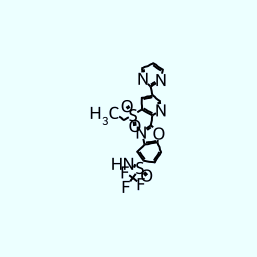 CCS(=O)(=O)c1cc(-c2ncccn2)cnc1-c1nc2cc(S(=N)(=O)C(F)(F)F)ccc2o1